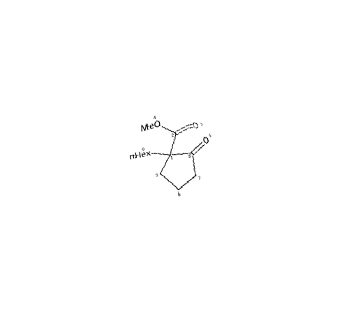 CCCCCCC1(C(=O)OC)CCCC1=O